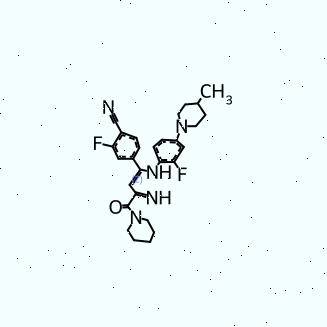 CC1CCN(c2ccc(N/C(=C\C(=N)C(=O)N3CCCCC3)c3ccc(C#N)c(F)c3)c(F)c2)CC1